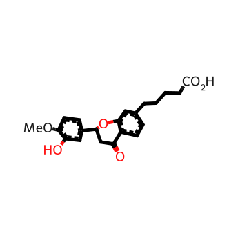 COc1ccc(C2CC(=O)c3ccc(CCCCC(=O)O)cc3O2)cc1O